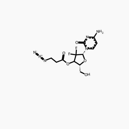 [N-]=[N+]=NCCC(=O)OC1[C@@H](CO)O[C@@H](n2ccc(N)nc2=O)C1(F)F